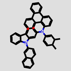 CC1C=CC(N(c2ccc3c4ccccc4n(-c4ccc5ccccc5c4)c3c2)c2cccc3c4ccccc4c4ccccc4c23)=CC1C